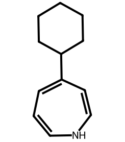 C1=CNC=CC(C2CCCCC2)=C1